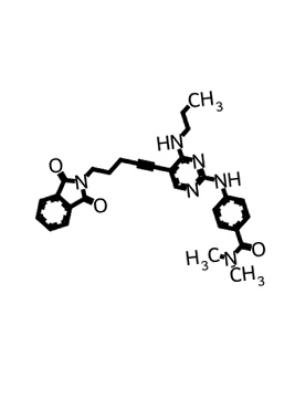 CCCNc1nc(Nc2ccc(C(=O)N(C)C)cc2)ncc1C#CCCCN1C(=O)c2ccccc2C1=O